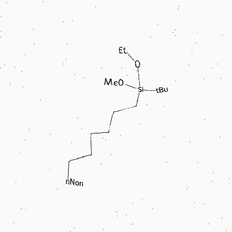 CCCCCCCCCCCCCCC[Si](OC)(OCC)C(C)(C)C